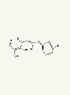 Oc1ccnc2cc(Oc3cccc(Br)c3)ccc12